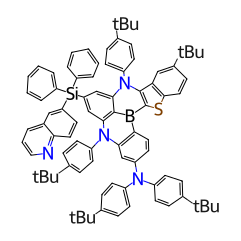 CC(C)(C)c1ccc(N(c2ccc(C(C)(C)C)cc2)c2ccc3c(c2)N(c2ccc(C(C)(C)C)cc2)c2cc([Si](c4ccccc4)(c4ccccc4)c4ccc5ncccc5c4)cc4c2B3c2sc3ccc(C(C)(C)C)cc3c2N4c2ccc(C(C)(C)C)cc2)cc1